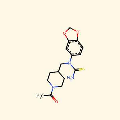 CC(=O)N1CCC(CN(C(N)=S)c2ccc3c(c2)OCO3)CC1